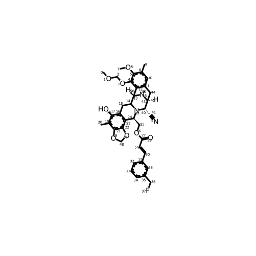 COCOc1c(OC)c(C)cc2c1[C@H]1C3Cc4c(O)c(C)c5c(c4[C@H](COC(=O)/C=C/c4cccc(CF)c4)N3[C@@H](C#N)[C@H](C2)N1C)OCO5